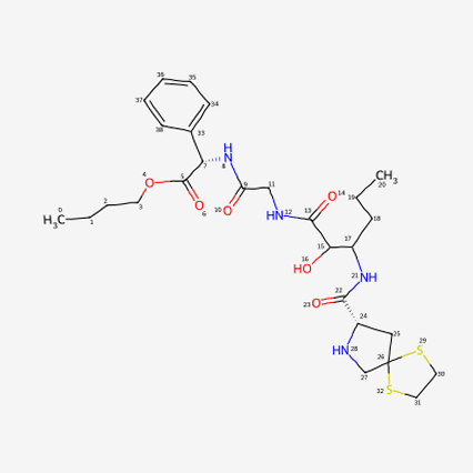 CCCCOC(=O)[C@@H](NC(=O)CNC(=O)C(O)C(CCC)NC(=O)[C@@H]1CC2(CN1)SCCS2)c1ccccc1